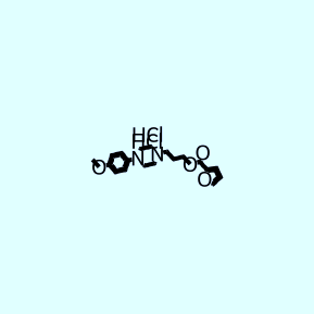 COc1ccc(N2CCN(CCCOC(=O)c3ccco3)CC2)cc1.Cl.Cl